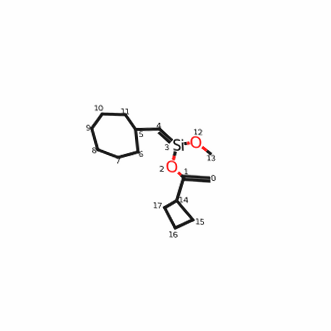 C=C(O[Si](=CC1CCCCCC1)OC)C1CCC1